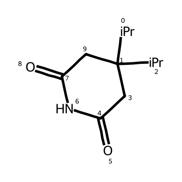 CC(C)C1(C(C)C)CC(=O)NC(=O)C1